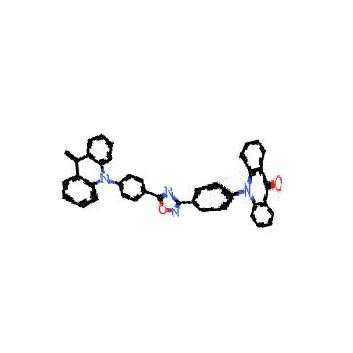 C=C1c2ccccc2N(c2ccc(-c3nc(-c4ccc(-n5c6ccccc6c(=O)c6ccccc65)cc4)no3)cc2)c2ccccc21